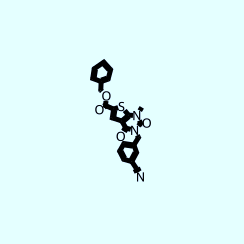 Cn1c(=O)n(Cc2cccc(C#N)c2)c(=O)c2cc(C(=O)OCc3ccccc3)sc21